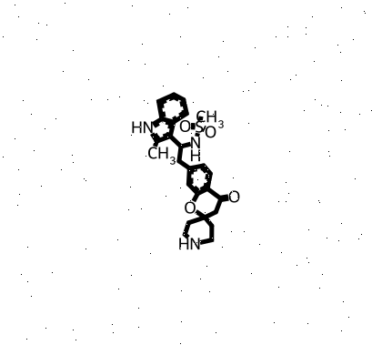 Cc1[nH]c2ccccc2c1C(Cc1ccc2c(c1)OC1(CCNCC1)CC2=O)NS(C)(=O)=O